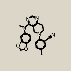 Cc1ccc(N2CCc3ncnc(N(C)c4ccc5c(c4)OCO5)c3C2)c(C#N)c1